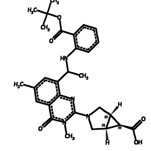 Cc1cc(C(C)Nc2ccccc2C(=O)OC(C)(C)C)c2nc(N3C[C@@H]4[C@H](C3)[C@@H]4C(=O)O)n(C)c(=O)c2c1